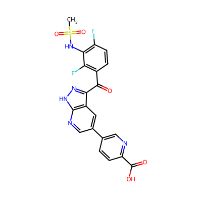 CS(=O)(=O)Nc1c(F)ccc(C(=O)c2n[nH]c3ncc(-c4ccc(C(=O)O)nc4)cc23)c1F